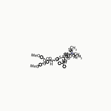 COc1ccc(COc2ccc(C(=O)NCC[n+]3ccc(SCC4=C(c5nnn(C(c6ccccc6)c6ccccc6)n5)N5C(=O)[C@@H](NC(=O)/C(=N\OC(C)(C)C(C)=O)c6csc(C)n6)[C@H]5SC4)cc3)c(Cl)c2OCc2ccc(OC)cc2)cc1